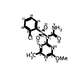 COc1nc(C)nc(N(C(N)=O)S(=O)(=O)c2ccccc2Cl)n1